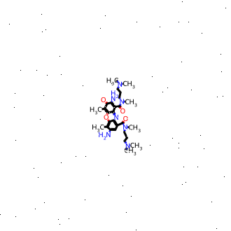 Cc1c2oc3c(C)c(N)cc(C(=O)N(C)CCCN(C)C)c3nc-2c(C(=O)N(C)CCCN(C)C)c(N)c1=O